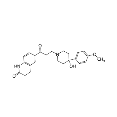 COc1ccc(C2(O)CCN(CCC(=O)c3ccc4c(c3)CCC(=O)N4)CC2)cc1